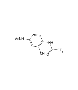 CC(=O)Nc1ccc(NC(=O)C(F)(F)F)c(C#N)c1